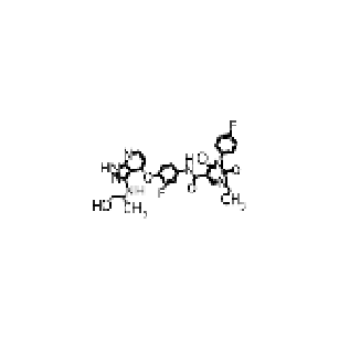 CCn1cc(C(=O)Nc2ccc(Oc3ccnc4[nH]nc(N[C@@H](C)CO)c34)c(F)c2)c(=O)n(-c2ccc(F)cc2)c1=O